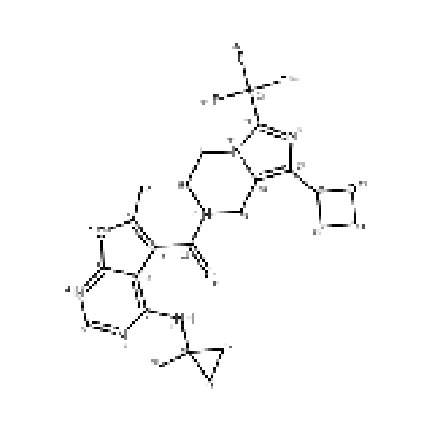 Cc1oc2ncnc(NC3(C)CC3)c2c1C(=O)N1CCn2c(C(F)(F)F)nc(C3CCO3)c2C1